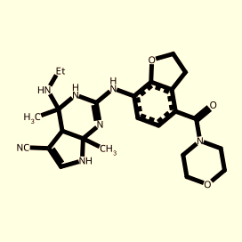 CCNC1(C)NC(Nc2ccc(C(=O)N3CCOCC3)c3c2OCC3)=NC2(C)NC=C(C#N)C21